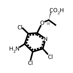 C[C@H](Oc1nc(Cl)c(Cl)c(N)c1Cl)C(=O)O